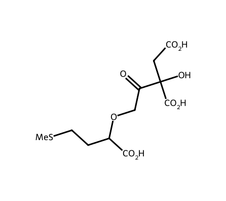 CSCCC(OCC(=O)C(O)(CC(=O)O)C(=O)O)C(=O)O